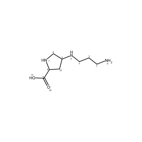 NCCCNC1CNC(C(=O)O)C1